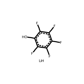 Oc1c(F)c(F)c(F)c(F)c1F.[LiH]